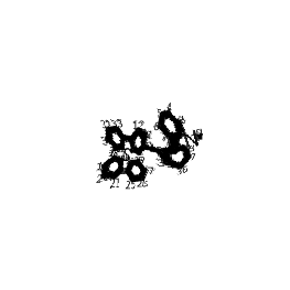 Cn1c2ccccc2c2c(-c3ccc4c(c3)S(c3ccccc3)(c3ccccc3)c3ccccc3-4)cccc21